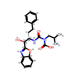 CC(C)CN(C(=O)O)C(=O)N[C@@H](CCc1ccccc1)[C@H](O)c1nc2ccccc2o1